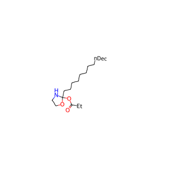 CCCCCCCCCCCCCCCCCCC1(OC(=O)CC)NCCO1